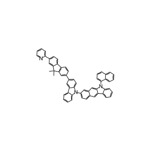 CC1(C)c2cc(-c3ccc4c(c3)c3ccccc3n4-c3ccc4cc5c6ccccc6n(-c6cccc7ccccc67)c5cc4c3)ccc2-c2ccc(-c3ccccn3)cc21